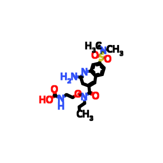 CCCN(OCCNC(=O)O)C(=O)C1=Cc2ccc(S(=O)(=O)N(C)C)cc2N=C(N)C1